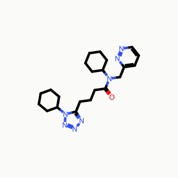 O=C(CCCc1nnnn1C1CCCCC1)N(Cc1cccnn1)C1CCCCC1